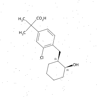 CC(C)(C(=O)O)c1ccc(C[C@@H]2CCCC[C@@H]2O)c(Cl)c1